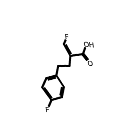 O=C(O)C(=CF)CCc1ccc(F)cc1